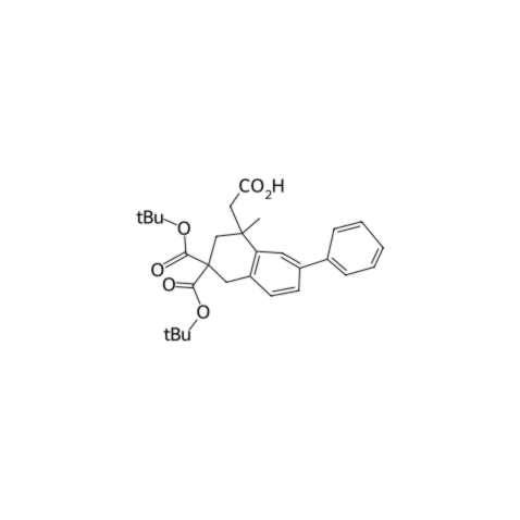 CC(C)(C)OC(=O)C1(C(=O)OC(C)(C)C)Cc2ccc(-c3ccccc3)cc2C(C)(CC(=O)O)C1